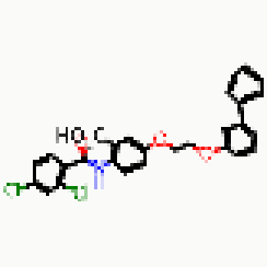 O=C(Nc1ccc(OCCOc2cccc(-c3ccccc3)c2)cc1C(=O)O)c1ccc(Cl)cc1Cl